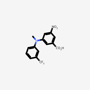 CN(c1cc(C(=O)O)cc([N+](=O)[O-])c1)c1cccc(C(F)(F)F)c1